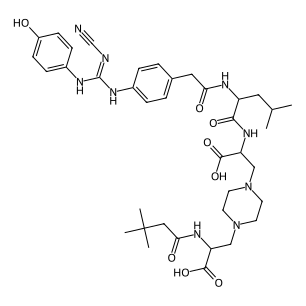 CC(C)CC(NC(=O)Cc1ccc(NC(=NC#N)Nc2ccc(O)cc2)cc1)C(=O)NC(CN1CCN(CC(NC(=O)CC(C)(C)C)C(=O)O)CC1)C(=O)O